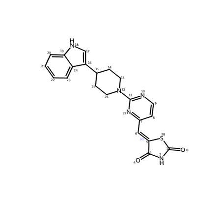 O=C1NC(=O)/C(=C/c2ccnc(N3CCC(c4c[nH]c5ccccc45)CC3)n2)S1